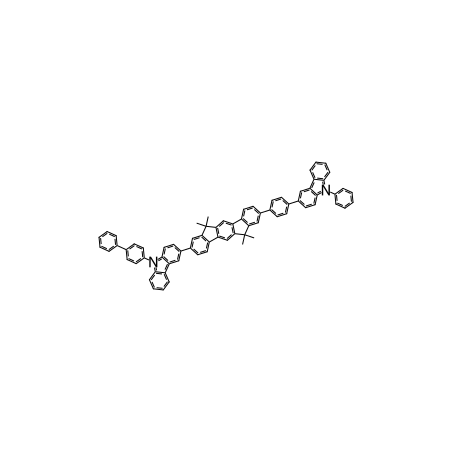 CC1(C)c2cc(-c3ccc(-c4ccc5c(c4)c4ccccc4n5-c4ccccc4)cc3)ccc2-c2cc3c(cc21)-c1ccc(-c2ccc4c(c2)c2ccccc2n4-c2ccc(-c4ccccc4)cc2)cc1C3(C)C